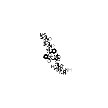 CC(=O)NC(CSC(=O)C(CSC(=O)c1ccccc1OC(=O)c1ccccc1OC(=O)C(CSC(=O)C(CS)NC(C)=O)NC(C)=O)NC(C)=O)C(=O)NC(=N)NC(=N)N(C)C